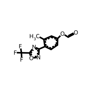 Cc1cc(OC=O)ccc1-c1noc(C(F)(F)F)n1